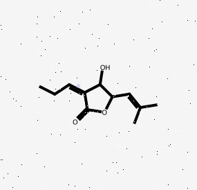 CC/C=C1\C(=O)OC(C=C(C)C)C1O